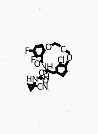 N#CC1(NC(=O)O[C@H]2Cc3ccc(c(Cl)c3)OCCCCOc3ccc(F)c(F)c3C(=O)N2)CC1